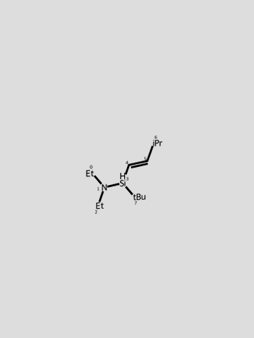 CCN(CC)[SiH](C=CC(C)C)C(C)(C)C